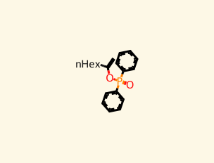 C=C(CCCCCC)OP(=O)(c1ccccc1)c1ccccc1